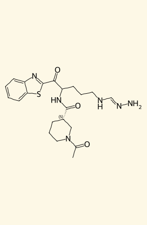 CC(=O)N1CCC[C@H](C(=O)NC(CCCNC=NN)C(=O)c2nc3ccccc3s2)C1